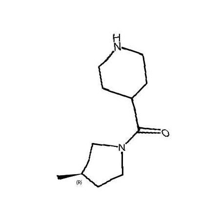 C[C@@H]1CCN(C(=O)C2CCNCC2)C1